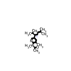 CC(=O)N(C)c1ncc(/C(=C/C=C(C)C)C(C)C)cc1C